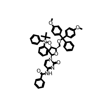 COc1ccc(C(OC[C@H]2O[C@@H](n3ccc(NC(=O)c4ccccc4)nc3=O)C[C@@H]2O[Si](c2ccccc2)(c2ccccc2)C(C)(C)C)(c2ccccc2)c2ccc(OC)cc2)cc1